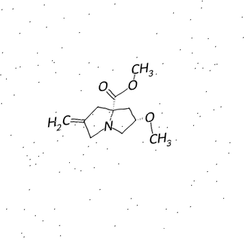 C=C1CN2C[C@@H](OC)C[C@]2(C(=O)OC)C1